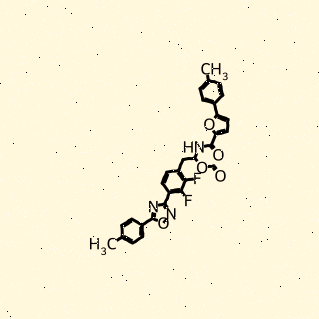 Cc1ccc(-c2ccc(C(=O)NC(Cc3ccc(-c4noc(-c5ccc(C)cc5)n4)c(F)c3F)OC=O)o2)cc1